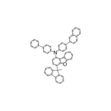 CC1(c2ccc(N(c3ccc(-c4ccccc4)cc3)c3ccc(-c4ccc5ccccc5c4)cc3)c3c2oc2ccccc23)c2ccccc2-c2ccccc21